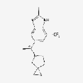 Cc1nc2cc([C@H](C)N3CCC4(CC4)C3)cc(C(F)(F)F)c2[nH]1